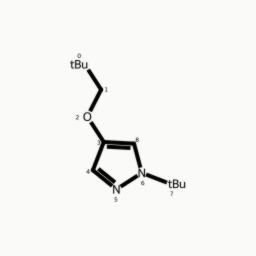 CC(C)(C)COc1cnn(C(C)(C)C)c1